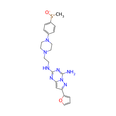 C[S+]([O-])c1ccc(N2CCN(CCNc3nc(N)n4nc(-c5ccco5)cc4n3)CC2)cc1